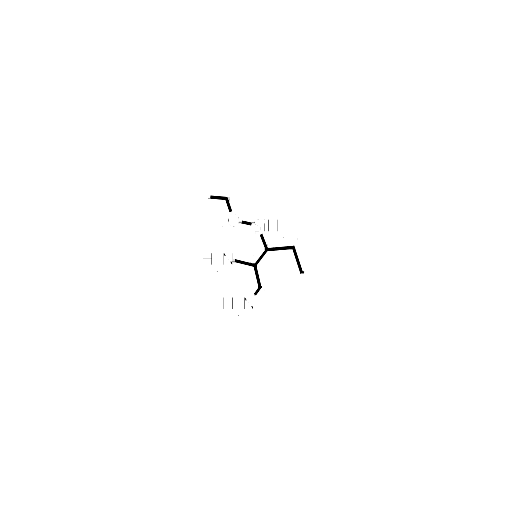 CCO[SiH2]C(CC)C(N)CN